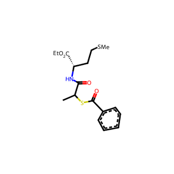 CCOC(=O)[C@H](CCSC)NC(=O)C(C)SC(=O)c1ccccc1